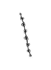 COCCCCCCOC(=O)OCCCCCCOC(=O)OCCCCCCOC(=O)OCCCCCCOC(=O)OCCCCCCOC(=O)OCCCCCCOC(=O)OCCCCCOC